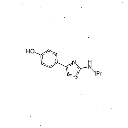 CC(C)Nc1nc(-c2ccc(O)cc2)cs1